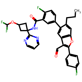 CCCc1cc2oc(-c3ccc(F)cc3)c(C=O)c2cc1-c1ccc(F)c(C(=O)NC2(c3ncccn3)CC(OC(F)F)C2)c1